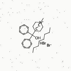 Br.CCCCCCCC.C[N+]12CCC(C(O)(c3ccccc3)c3ccccc3)(CC1)CC2.[Br-]